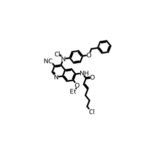 CCOc1cc2ncc(C#N)c(N(Cl)c3ccc(OCc4ccccc4)cc3)c2cc1NC(=O)C=CCCCCl